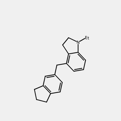 CCN1CCc2c(Cc3ccc4c(c3)CCC4)cccc21